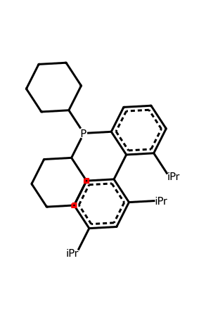 CC(C)c1ccc(-c2c(C(C)C)cccc2P(C2CCCCC2)C2CCCCC2)c(C(C)C)c1